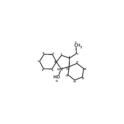 CCC1CC2(CCCCC2)N(O)C12CCCCC2